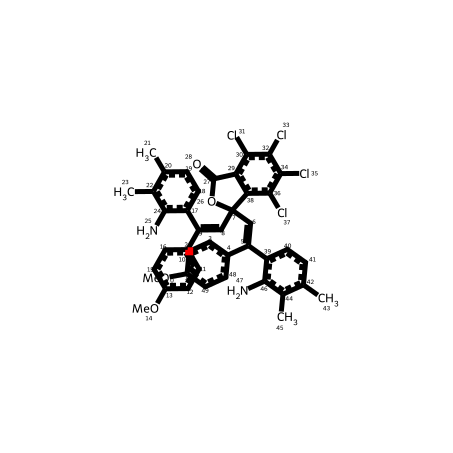 COc1ccc(C(=CC2(C=C(c3ccc(OC)cc3)c3ccc(C)c(C)c3N)OC(=O)c3c(Cl)c(Cl)c(Cl)c(Cl)c32)c2ccc(C)c(C)c2N)cc1